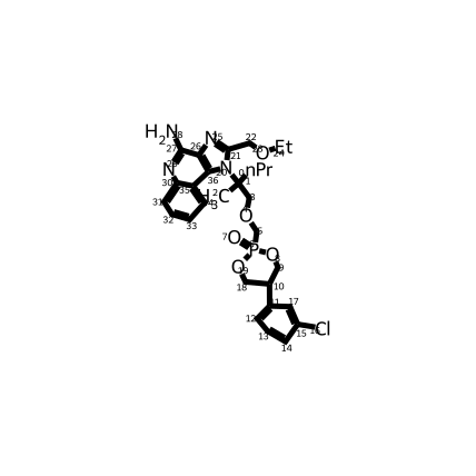 CCCC(C)(COCP1(=O)OCC(c2cccc(Cl)c2)CO1)n1c(COCC)nc2c(N)nc3ccccc3c21